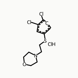 Cl.Clc1ccc(SCCN2CCOCC2)cc1Cl